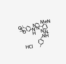 CNc1ccc2c(nc(NCc3ccc(C)cc3)n2C)c1-c1ccnc(Nc2ccc(C(C)S(C)(=O)=O)cc2)n1.Cl